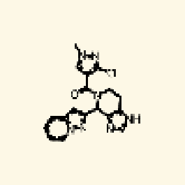 Cn1cc(C(=O)N2CCc3[nH]cnc3C2c2cc3ccccn3n2)c(Cl)n1